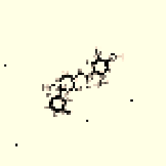 Oc1cc(F)c(C(O)CN2CCC(O)(c3cccc(F)c3)CC2)cc1F